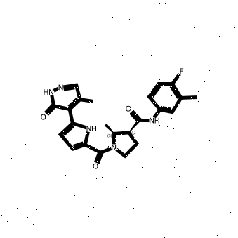 Cc1cc(NC(=O)[C@H]2CCN(C(=O)c3ccc(-c4c(C)cn[nH]c4=O)[nH]3)[C@H]2C)ccc1F